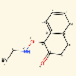 CC(C)CNOC1C(=O)CCC2CC=CC=C21